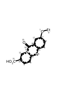 CCOc1ccc2nc3ccc(C(=O)O)cn3c(=O)c2c1